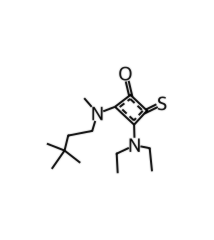 CCN(CC)c1c(N(C)CCC(C)(C)C)c(=O)c1=S